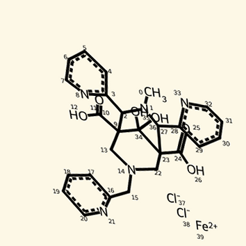 CN1C(c2ccccn2)C2(C(=O)O)CN(Cc3ccccn3)CC(C(=O)O)(C1c1ccccn1)C2(O)O.[Cl-].[Cl-].[Fe+2]